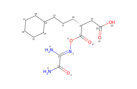 NC(=O)/C(N)=N/OC(=O)[C@H](CCCC1CCCCC1)CC(=O)O